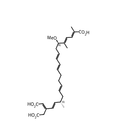 CO[C@H](CC=CC=CCCC=CC[C@H](C)C=CC(=CC(=O)O)CC(=O)O)C(C)=CC=C(C)C(=O)O